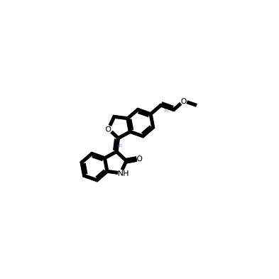 CO/C=C/c1ccc2c(c1)CO/C2=C1/C(=O)Nc2ccccc21